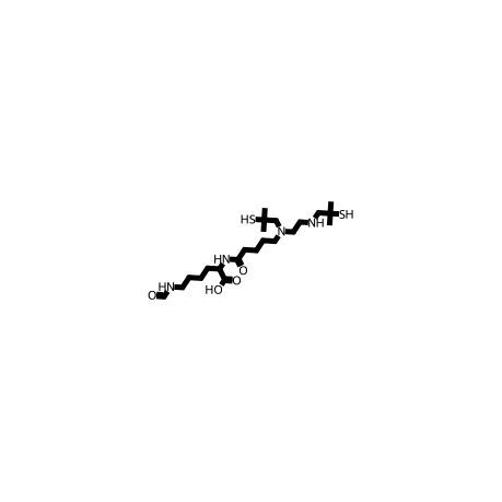 CC(C)(S)CNCCN(CCCCC(=O)NC(CCCCNC=O)C(=O)O)CC(C)(C)S